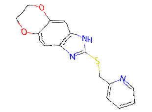 c1ccc(CSc2nc3cc4c(cc3[nH]2)OCCO4)nc1